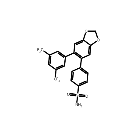 NS(=O)(=O)c1ccc(-c2cc3c(cc2-c2cc(C(F)(F)F)cc(C(F)(F)F)c2)OCO3)cc1